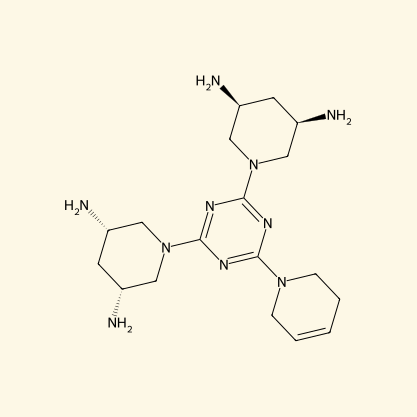 N[C@@H]1C[C@H](N)CN(c2nc(N3CC=CCC3)nc(N3C[C@H](N)C[C@H](N)C3)n2)C1